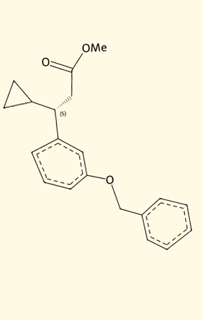 COC(=O)C[C@H](c1cccc(OCc2ccccc2)c1)C1CC1